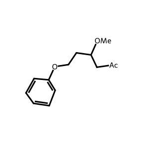 COC(CCOc1ccccc1)CC(C)=O